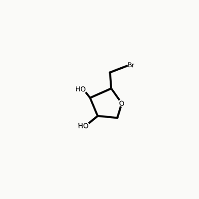 OC1COC(CBr)C1O